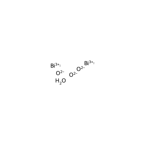 O.[Bi+3].[Bi+3].[O-2].[O-2].[O-2]